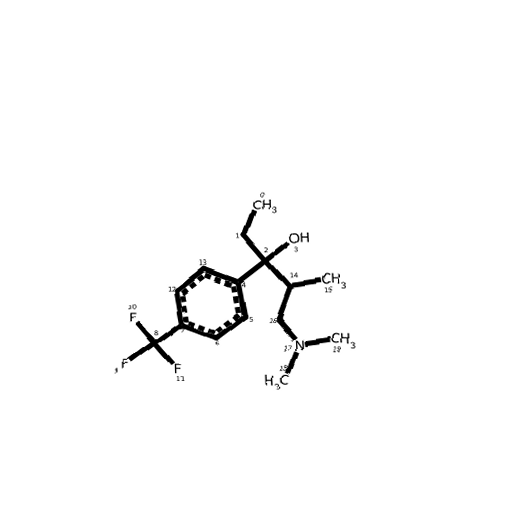 CCC(O)(c1ccc(C(F)(F)F)cc1)C(C)CN(C)C